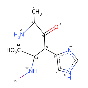 CC(N)C(=O)C(c1c[nH]cn1)C(NI)C(=O)O